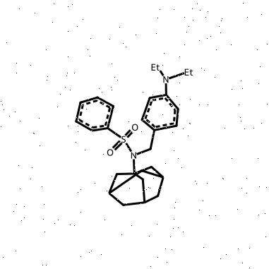 CCN(CC)c1ccc(CN(C23CC4CC(CC(C4)C2)C3)S(=O)(=O)c2ccccc2)cc1